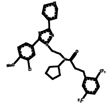 COc1ccc(-c2nc(-c3ccncc3)nn2CCN(C(=O)CCc2cc(C(F)(F)F)ccc2C(F)(F)F)C2CCCC2)cc1Cl